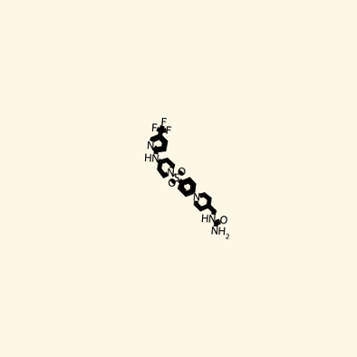 NC(=O)NCC1CCN(c2ccc(S(=O)(=O)N3CCC(Nc4ccc(C(F)(F)F)cn4)CC3)cc2)CC1